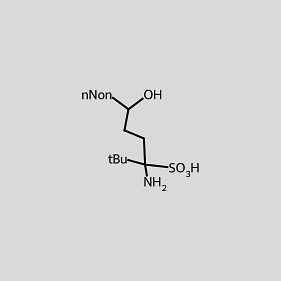 CCCCCCCCCC(O)CCC(N)(C(C)(C)C)S(=O)(=O)O